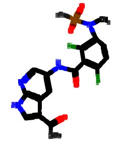 CCCS(=O)(=O)N(C)c1ccc(F)c(C(=O)Nc2cnc3[nH]cc(C(=O)OC)c3c2)c1F